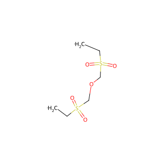 [CH2]CS(=O)(=O)COCS(=O)(=O)C[CH2]